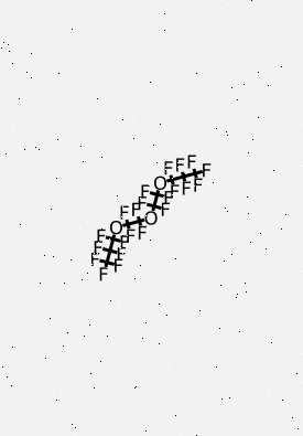 FC(F)(F)C(F)(F)C(F)(F)OC(F)(F)C(F)(F)OC(F)(F)C(F)(F)OC(F)(F)C(F)(F)C(F)(F)F